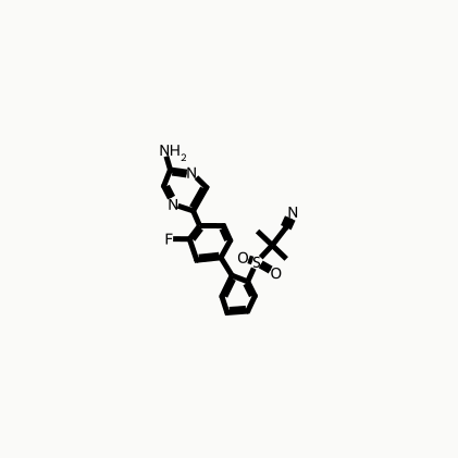 CC(C)(C#N)S(=O)(=O)c1ccccc1-c1ccc(-c2cnc(N)cn2)c(F)c1